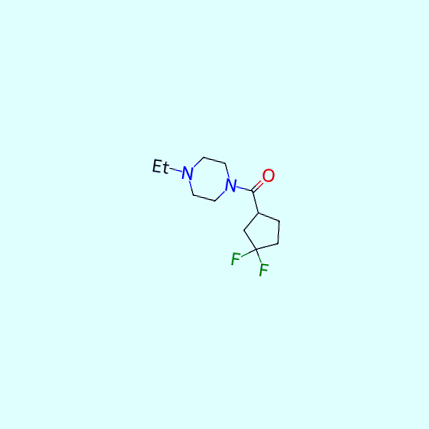 CCN1CCN(C(=O)C2CCC(F)(F)C2)CC1